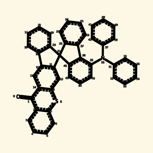 O=c1c2ccccc2sc2cc3c(cc12)-c1ccccc1C31c2ccccc2-c2c(N(c3ccccc3)c3ccccc3)cccc21